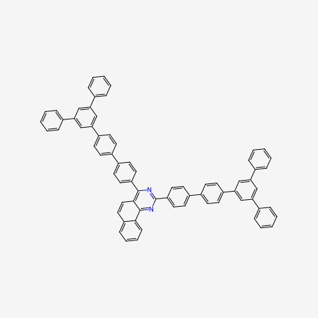 c1ccc(-c2cc(-c3ccccc3)cc(-c3ccc(-c4ccc(-c5nc(-c6ccc(-c7ccc(-c8cc(-c9ccccc9)cc(-c9ccccc9)c8)cc7)cc6)c6ccc7ccccc7c6n5)cc4)cc3)c2)cc1